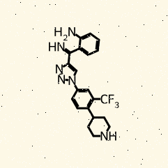 N=C(c1cn(-c2ccc(C3CCNCC3)c(C(F)(F)F)c2)nn1)c1ccccc1N